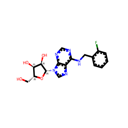 OC[C@H]1O[C@@H](n2cnc3c(NCc4ccccc4F)ncnc32)[C@H](O)[C@@H]1O